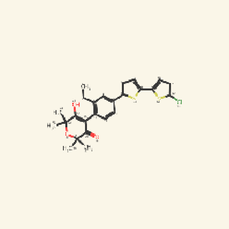 CCc1cc(C2CC=C(C3=CCC(Cl)S3)S2)ccc1C1=C(O)C(C)(C)OC(C)(C)C1=O